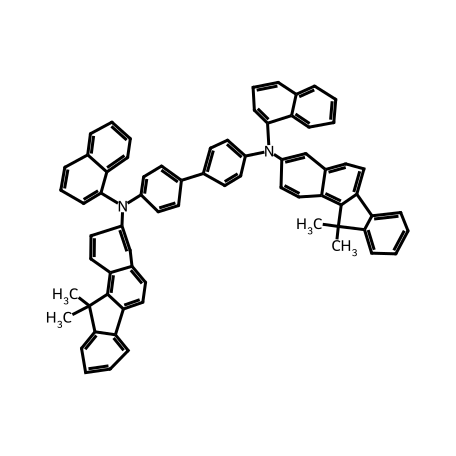 CC1(C)c2ccccc2-c2ccc3cc(N(c4ccc(-c5ccc(N(c6ccc7c8c(ccc7c6)-c6ccccc6C8(C)C)c6cccc7ccccc67)cc5)cc4)c4cccc5ccccc45)ccc3c21